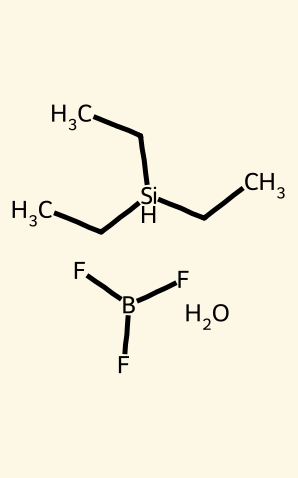 CC[SiH](CC)CC.FB(F)F.O